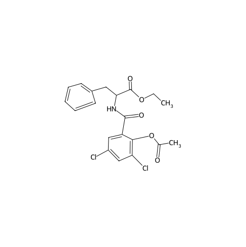 CCOC(=O)C(Cc1ccccc1)NC(=O)c1cc(Cl)cc(Cl)c1OC(C)=O